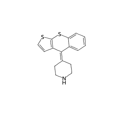 c1ccc2c(c1)Sc1sccc1C2=C1CCNCC1